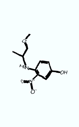 COCC(C)Nc1ccc(O)cc1[N+](=O)[O-]